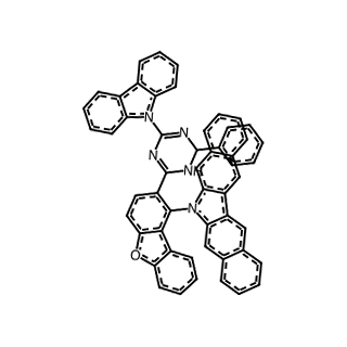 c1ccc(C2N=C(n3c4ccccc4c4ccccc43)N=C(c3ccc4oc5ccccc5c4c3-n3c4cc5ccccc5cc4c4cc5ccccc5cc43)N2)cc1